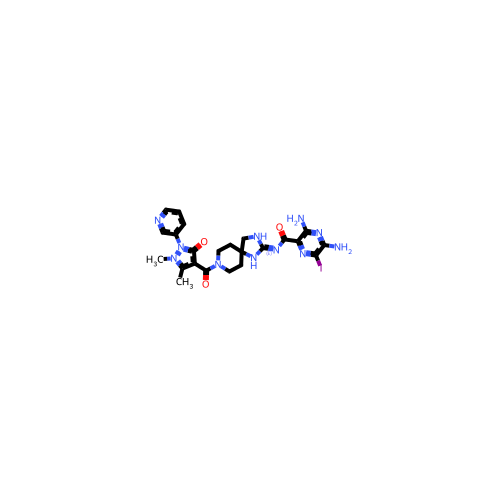 Cc1c(C(=O)N2CCC3(CC2)CN/C(=N\C(=O)c2nc(I)c(N)nc2N)N3)c(=O)n(-c2cccnc2)n1C